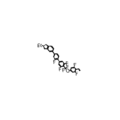 C=Cc1c(F)cc(OC(F)(F)c2c(F)cc(-c3ccc(-c4ccc5c(c4)CC(CC)C5)cc3F)cc2F)cc1F